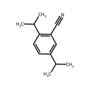 C[C](C)c1ccc(C(C)C)c(C#N)c1